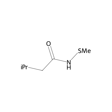 CSNC(=O)CC(C)C